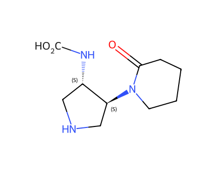 O=C(O)N[C@H]1CNC[C@@H]1N1CCCCC1=O